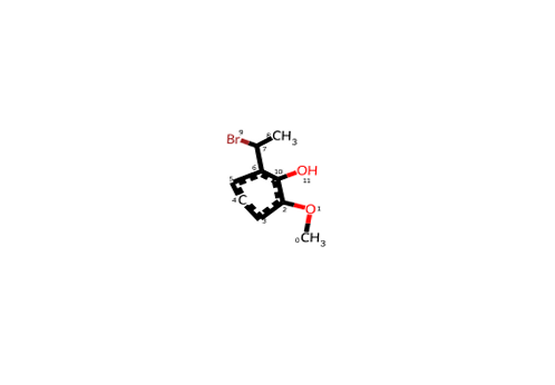 COc1cccc(C(C)Br)c1O